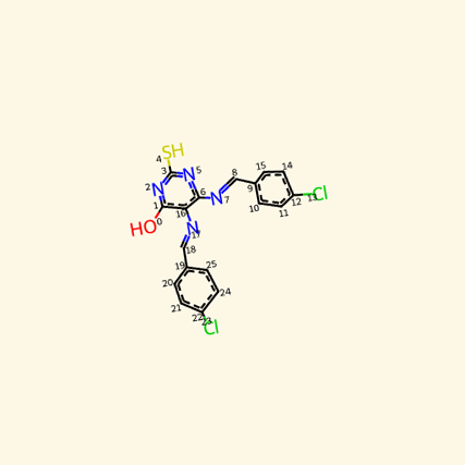 Oc1nc(S)nc(N=Cc2ccc(Cl)cc2)c1N=Cc1ccc(Cl)cc1